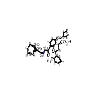 Cc1ccccc1C(CCC(=O)O)Oc1cc(OCc2ccsc2)ccc1C(=O)/C=C/c1ccccn1